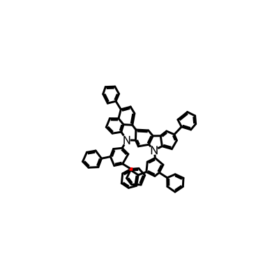 c1ccc(-c2cc(-c3ccccc3)cc(N3c4cc5c(cc4-c4ccc(-c6ccccc6)c6cccc3c46)c3cc(-c4ccccc4)ccc3n5-c3cc(-c4ccccc4)cc(-c4ccccc4)c3)c2)cc1